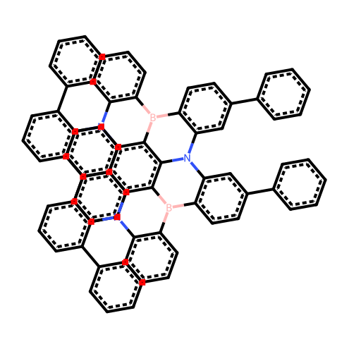 c1ccc(-c2ccc3c(c2)N2c4cc(-c5ccccc5)ccc4B4c5ccccc5N(c5c(-c6ccccc6)cccc5-c5ccccc5)c5cc6c(c2c54)B3c2ccccc2N6c2c(-c3ccccc3)cccc2-c2ccccc2)cc1